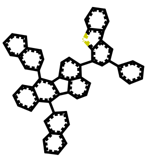 c1ccc(-c2cc(-c3ccc4c5c(cccc35)-c3c-4c(-c4ccc5ccccc5c4)c4ccccc4c3-c3ccc4ccccc4c3)c3sc4ccccc4c3c2)cc1